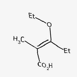 CCOC(CC)=C(C)C(=O)O